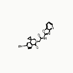 O=C(CN1CC2(CC2)c2cc(Br)ccc2C1=O)Nc1nc2ncccc2o1